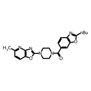 CCCCc1nc2ccc(C(=O)N3CCN(c4nc5nc(C)ccc5o4)CC3)cc2o1